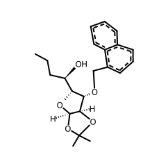 CCC[C@@H](O)[C@H]1O[C@@H]2OC(C)(C)O[C@@H]2[C@H]1OCc1cccc2ccccc12